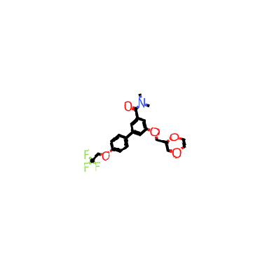 CN(C)C(=O)c1cc(OCC2COCCO2)cc(-c2ccc(OCC(F)(F)F)cc2)c1